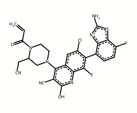 C=CC(=O)N1CCN(c2c(C#N)c(O)nc3c(F)c(-c4ccc(F)c5sc(N)nc45)c(Cl)cc23)CC1CC#N